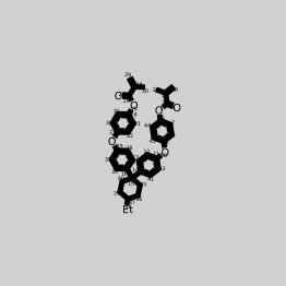 C=C(C)C(=O)Oc1ccc(Oc2ccc(C3(c4ccc(Oc5ccc(OC(=O)C(=C)C)cc5)cc4)CCC(CC)CC3)cc2)cc1